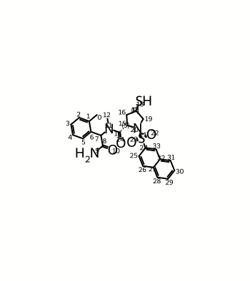 Cc1ccccc1C(C(N)=O)N(C)C(=O)[C@@H]1C[C@@H](S)CN1S(=O)(=O)c1ccc2ccccc2c1